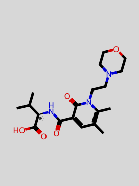 Cc1cc(C(=O)N[C@@H](C(=O)O)C(C)C)c(=O)n(CCN2CCOCC2)c1C